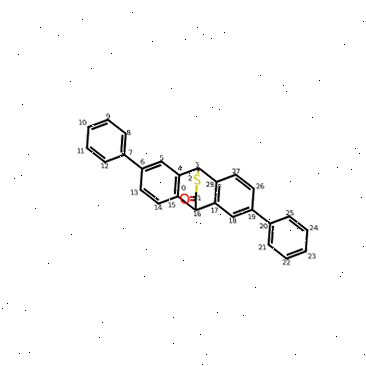 O=C1SC2c3cc(-c4ccccc4)ccc3C1c1cc(-c3ccccc3)ccc12